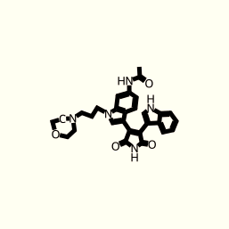 CC(=O)Nc1ccc2c(C3=C(c4c[nH]c5ccccc45)C(=O)NC3=O)cn(CCCN3CCOCC3)c2c1